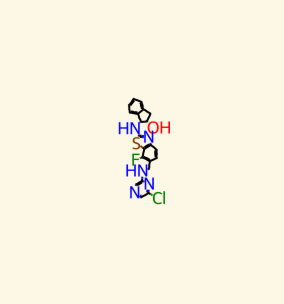 O[C@H]1Cc2ccccc2C1Nc1nc2ccc(CNc3cncc(Cl)n3)c(F)c2s1